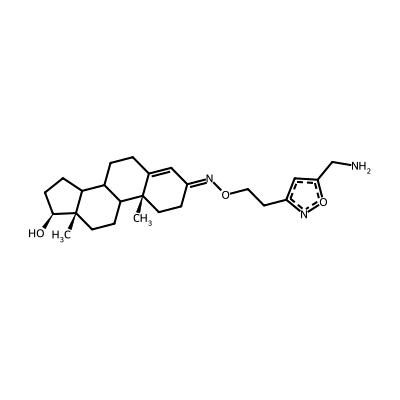 C[C@]12CCC(=NOCCc3cc(CN)on3)C=C1CCC1C2CC[C@@]2(C)C1CC[C@@H]2O